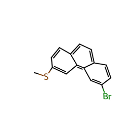 CSc1ccc2ccc3ccc(Br)cc3c2c1